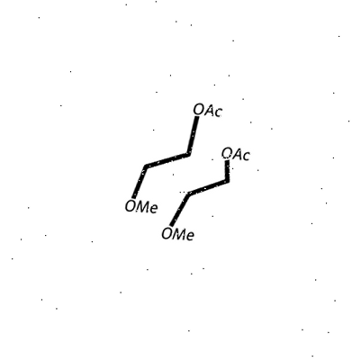 COCCOC(C)=O.COCCOC(C)=O